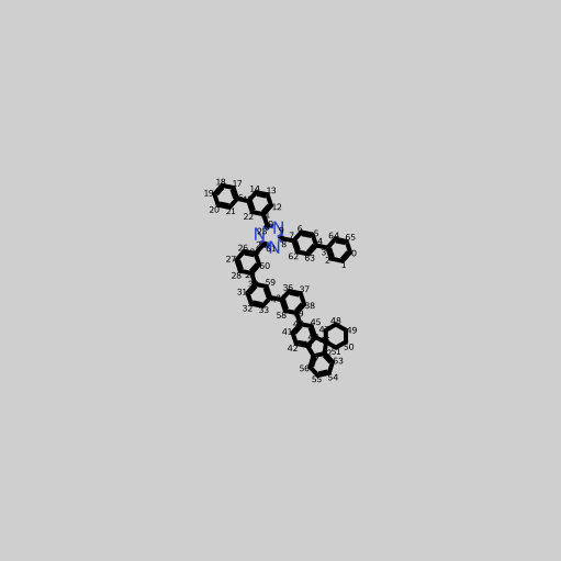 c1ccc(-c2ccc(-c3nc(-c4cccc(-c5ccccc5)c4)nc(-c4cccc(-c5cccc(-c6cccc(-c7ccc8c(c7)C7(CCCCC7)c7ccccc7-8)c6)c5)c4)n3)cc2)cc1